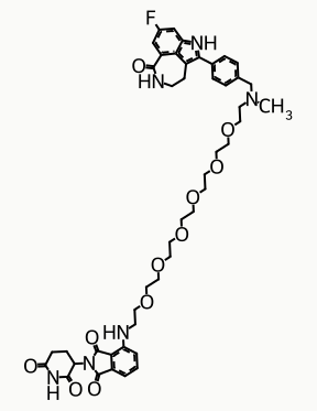 CN(CCOCCOCCOCCOCCOCCOCCNc1cccc2c1C(=O)N(C1CCC(=O)NC1=O)C2=O)Cc1ccc(-c2[nH]c3cc(F)cc4c3c2CCNC4=O)cc1